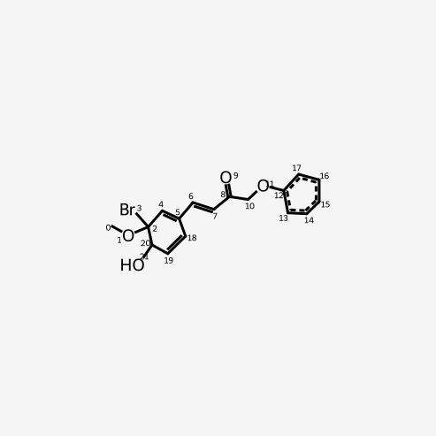 COC1(Br)C=C(C=CC(=O)COc2ccccc2)C=CC1O